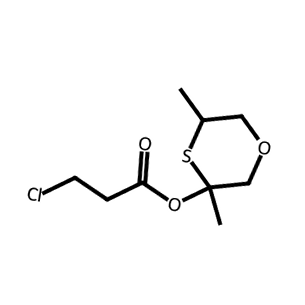 CC1COCC(C)(OC(=O)CCCl)S1